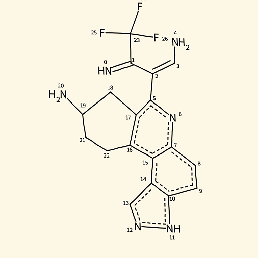 N=C(/C(=C\N)c1nc2ccc3[nH]ncc3c2c2c1CC(N)CC2)C(F)(F)F